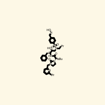 CC[C@H](C)[C@@H](C(=O)N[C@@H](Cc1ccccc1)[C@@H](O)CN(CC(C)C)S(=O)(=O)c1ccc(C=NO)cc1)N1CCN(Cc2cccc(C(C)C)n2)C1=O